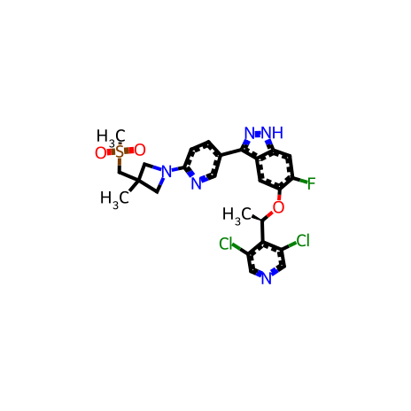 C[C@@H](Oc1cc2c(-c3ccc(N4CC(C)(CS(C)(=O)=O)C4)nc3)n[nH]c2cc1F)c1c(Cl)cncc1Cl